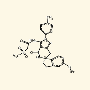 Cc1ccc(-n2nc3c(c2NC(=O)CS(C)(=O)=O)C(=O)N[C@@]2(CCc4cc(OC(C)C)ccc42)C3)nc1